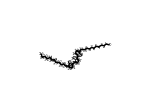 CCCCCCCCCCCCc1ccc(-c2ccc(-c3ccc(CCCCCCCCCCCC)s3)s2)s1